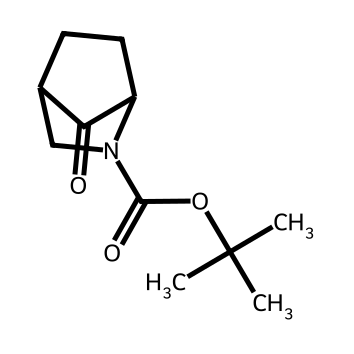 CC(C)(C)OC(=O)N1CC2CCC1C2=O